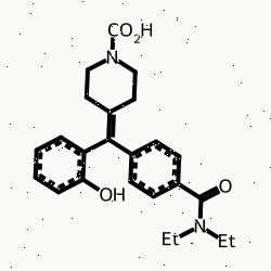 CCN(CC)C(=O)c1ccc(C(=C2CCN(C(=O)O)CC2)c2ccccc2O)cc1